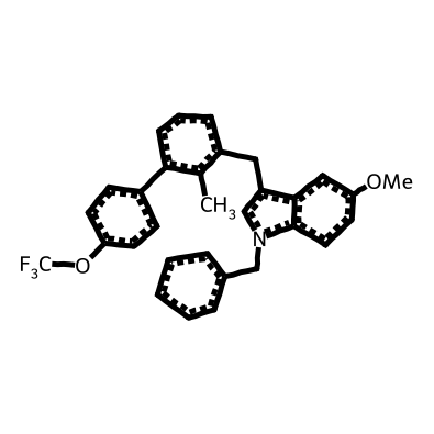 COc1ccc2c(c1)c(Cc1cccc(-c3ccc(OC(F)(F)F)cc3)c1C)cn2Cc1ccccc1